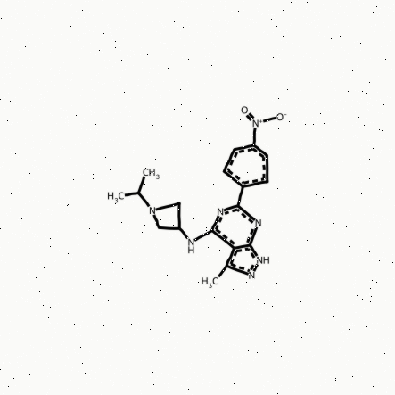 Cc1n[nH]c2nc(-c3ccc([N+](=O)[O-])cc3)nc(NC3CN(C(C)C)C3)c12